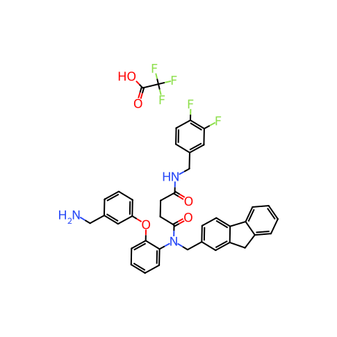 NCc1cccc(Oc2ccccc2N(Cc2ccc3c(c2)Cc2ccccc2-3)C(=O)CCC(=O)NCc2ccc(F)c(F)c2)c1.O=C(O)C(F)(F)F